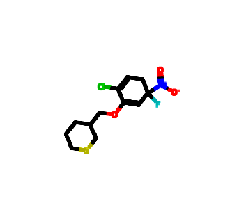 O=[N+]([O-])C1(F)C=C(OCC2CCCSC2)C(Cl)=CC1